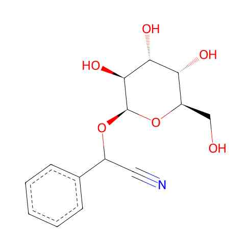 N#CC(O[C@@H]1O[C@H](CO)[C@@H](O)[C@@H](O)[C@@H]1O)c1ccccc1